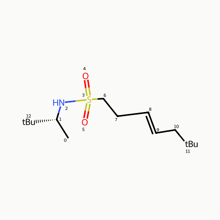 C[C@@H](NS(=O)(=O)CC/C=C/CC(C)(C)C)C(C)(C)C